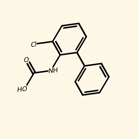 O=C(O)Nc1c(Cl)cccc1-c1ccccc1